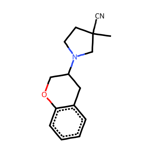 CC1(C#N)CCN(C2COc3ccccc3C2)C1